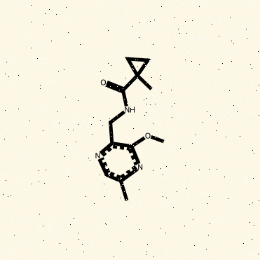 COc1nc(C)cnc1CNC(=O)C1(C)CC1